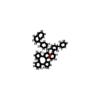 c1ccc(-c2ccc(N(c3ccc(-c4cccc5ccccc45)cc3)c3ccc4c(c3)-c3ccccc3-c3ccccc3-c3ccccc3-4)c(-c3ccccc3)c2)cc1